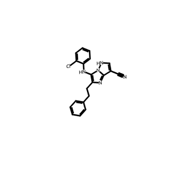 N#Cc1c[nH]n2c(Nc3ccccc3Cl)c(CCc3ccccc3)nc12